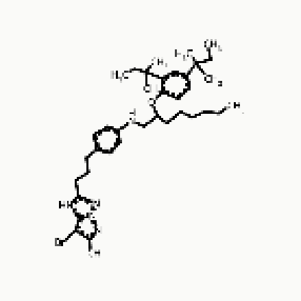 CCCCCCC(CNc1ccc(CCCc2nn3nc(C)c(Br)c3[nH]2)cc1)Oc1ccc(C(C)(C)CC)cc1C(C)(C)CC